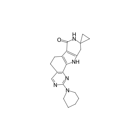 O=C1NC2(CC2)Cc2[nH]c3c(c21)CCc1cnc(N2CCCCC2)nc1-3